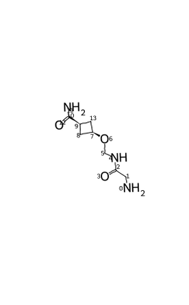 NCC(=O)NCO[C@H]1C[C@@H](C(N)=O)C1